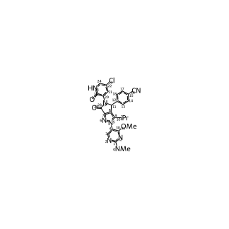 CNc1ncc(-n2nc3c(c2C(C)C)C(c2ccc(C#N)cc2)N(c2cc(Cl)c[nH]c2=O)C3=O)c(OC)n1